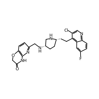 O=C1COc2ccc(CN[C@H]3CC[C@@H](CCc4c(Cl)cnc5ccc(F)cc45)NC3)nc2N1